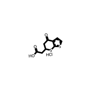 Cl.O=C(O)CC1CC(=O)c2ccsc2S1